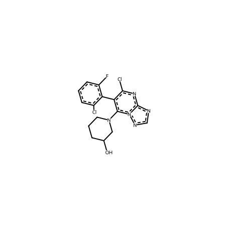 OC1CCCN(c2c(-c3c(F)cccc3Cl)c(Cl)nc3ncnn23)C1